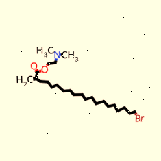 C=C(CCCCCCCCCCCCCCCCCCBr)C(=O)OCCN(C)C